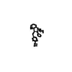 CCc1ccc(C=C2C(=O)Nc3cccnc32)s1